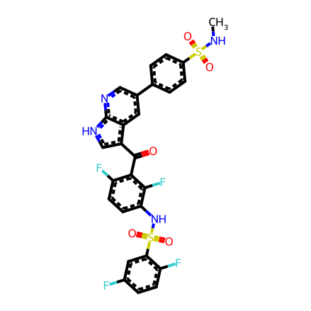 CNS(=O)(=O)c1ccc(-c2cnc3[nH]cc(C(=O)c4c(F)ccc(NS(=O)(=O)c5cc(F)ccc5F)c4F)c3c2)cc1